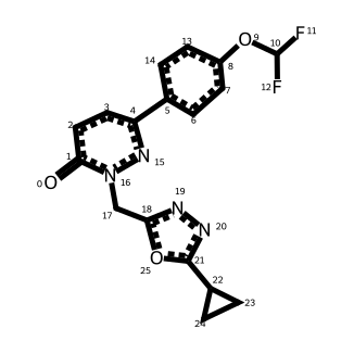 O=c1ccc(-c2ccc(OC(F)F)cc2)nn1Cc1nnc(C2CC2)o1